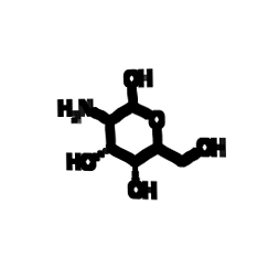 NC1C(O)OC(CO)[C@H](O)[C@@H]1O